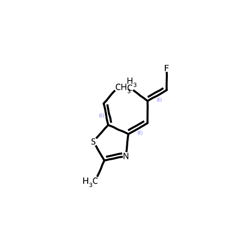 C/C=c1/sc(C)n/c1=C/C(C)=C/F